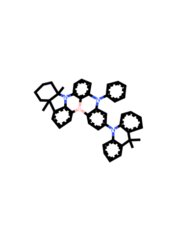 CC1(C)c2ccccc2N(c2ccc3c(c2)N(c2ccccc2)c2cccc4c2B3c2cccc3c2N4C2(C)CCCCC32C)c2ccccc21